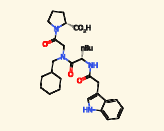 CCCC[C@H](NC(=O)Cc1c[nH]c2ccccc12)C(=O)N(CC(=O)N1CCC[C@@H]1C(=O)O)CC1CCCCC1